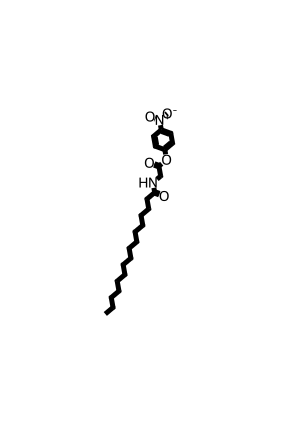 CCCCCCCCCCCCCCCC(=O)NCC(=O)Oc1ccc([N+](=O)[O-])cc1